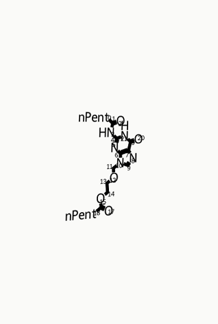 CCCCCC(=O)Nc1nc2c(ncn2COCCOC(=O)CCCCC)c(=O)[nH]1